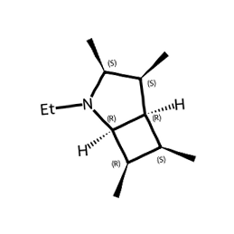 CCN1[C@@H]2[C@H](C)[C@H](C)[C@@H]2[C@H](C)[C@@H]1C